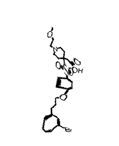 COCCN1CCC(C(=O)O)(S(=O)(=O)c2ccc(OCCCc3cccc(Br)c3)cc2)CC1